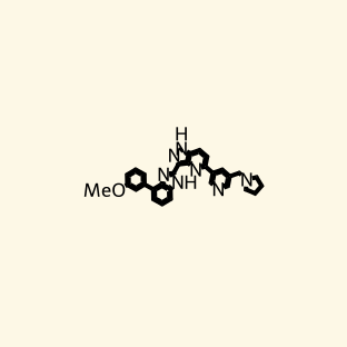 COc1cccc(-c2cccc3[nH]c(-c4n[nH]c5ccc(-c6cncc(CN7CCCC7)c6)nc45)nc23)c1